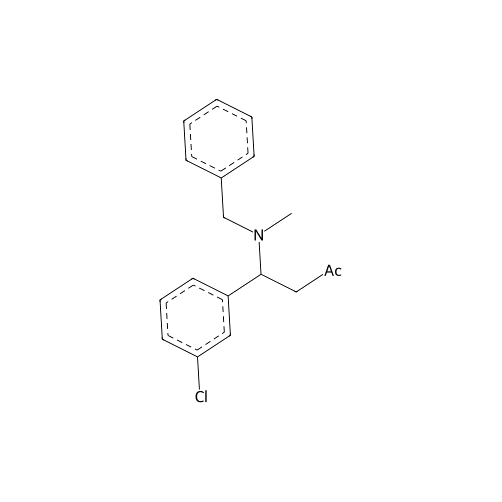 CC(=O)CC(c1cccc(Cl)c1)N(C)Cc1ccccc1